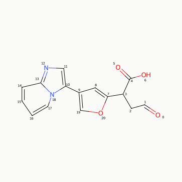 O=CCC(C(=O)O)c1cc(-c2cnc3ccccn23)co1